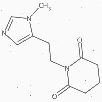 Cn1cncc1CCN1C(=O)CCCC1=O